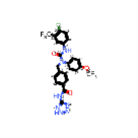 O=C(Nc1nn[nH]n1)c1ccc(CN(C(=O)Nc2ccc(Cl)c(C(F)(F)F)c2)c2ccc(OC(F)(F)F)cc2)cc1